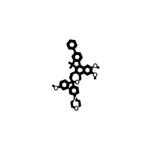 COc1ccc(C2(c3ccc(N4CCOCC4)cc3)C=Cc3c4c(c5cc(OC)c(OC)cc5c3CO2)-c2ccc(-c3ccccc3)cc2C4(C)C)cc1